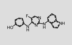 Oc1cccc(Nc2nc(Nc3cccc4[nH]ccc34)ncc2F)c1